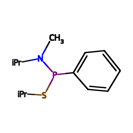 CC(C)SP(c1ccccc1)N(C)C(C)C